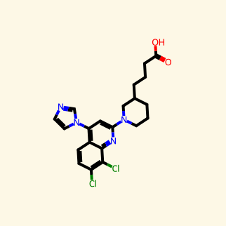 O=C(O)CCCC1CCCN(c2cc(-n3ccnc3)c3ccc(Cl)c(Cl)c3n2)C1